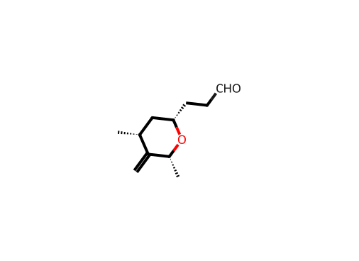 C=C1[C@H](C)C[C@H](CCC=O)O[C@@H]1C